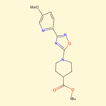 COc1ccc(-c2noc(N3CCC(C(=O)OC(C)(C)C)CC3)n2)nc1